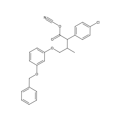 CC(COc1cccc(OCc2ccccc2)c1)C(C(=O)OC#N)c1ccc(Cl)cc1